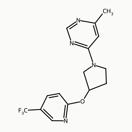 Cc1cc(N2CCC(Oc3ccc(C(F)(F)F)cn3)C2)ncn1